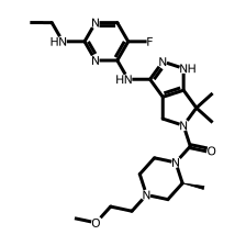 CCNc1ncc(F)c(Nc2n[nH]c3c2CN(C(=O)N2CCN(CCOC)C[C@@H]2C)C3(C)C)n1